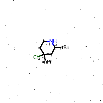 CCCC1(Cl)CCNC(C(C)(C)C)C1